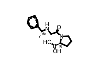 C[C@@H](NCC(=O)N1CCC[C@H]1B(O)O)c1ccccc1